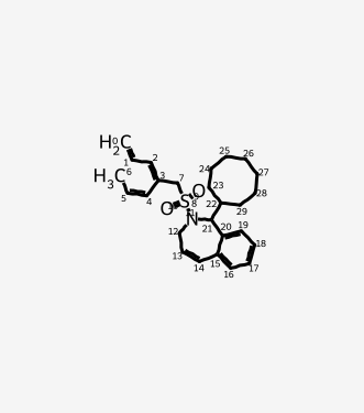 C=C/C=C(\C=C/C)CS(=O)(=O)N1CC=Cc2ccccc2C1C1CCCCCCC1